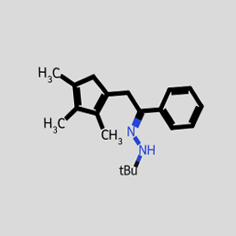 CC1=C(C)C(C)=C(CC(=NNC(C)(C)C)c2ccccc2)C1